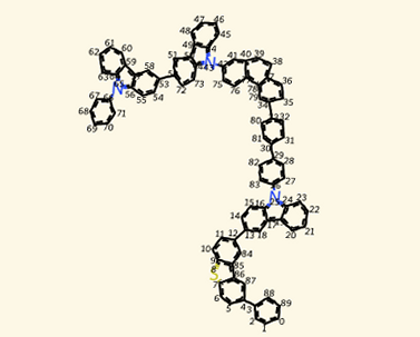 c1ccc(-c2ccc3sc4ccc(-c5ccc6c(c5)c5ccccc5n6-c5ccc(-c6ccc(-c7ccc8ccc9cc(-n%10c%11ccccc%11c%11cc(-c%12ccc%13c(c%12)c%12ccccc%12n%13-c%12ccccc%12)ccc%11%10)ccc9c8c7)cc6)cc5)cc4c3c2)cc1